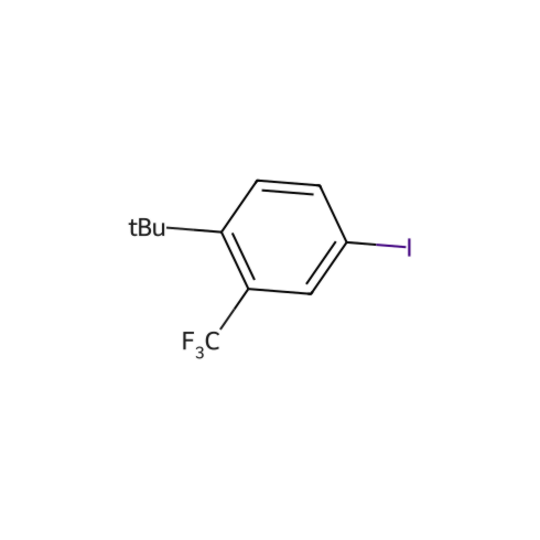 CC(C)(C)c1ccc(I)cc1C(F)(F)F